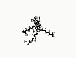 CC(C)CCCCCOP(=O)(ONCCNCCN)OP(=O)(OCCCCCC(C)C)OP(=O)(O)O